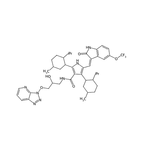 CC1CCC(C(C)C)C(c2[nH]c(C=C3C(=O)Nc4ccc(OC(F)(F)F)cc43)c(C3CC(C)CCC3C(C)C)c2C(=O)NCC(O)COn2nnc3cccnc32)C1